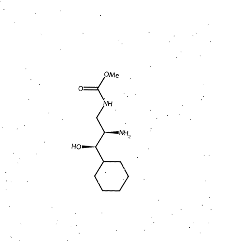 COC(=O)NC[C@@H](N)[C@H](O)C1CCCCC1